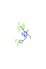 CCc1c(C)c(C(F)(F)C(F)(F)F)nn1CC1CC(F)(F)C1